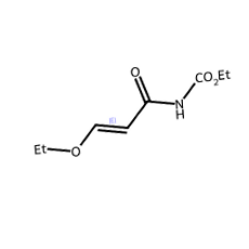 CCO/C=C/C(=O)NC(=O)OCC